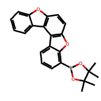 CC1(C)OB(c2cccc3c2oc2ccc4oc5ccccc5c4c23)OC1(C)C